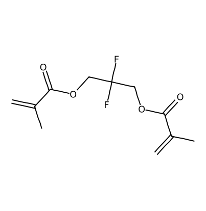 C=C(C)C(=O)OCC(F)(F)COC(=O)C(=C)C